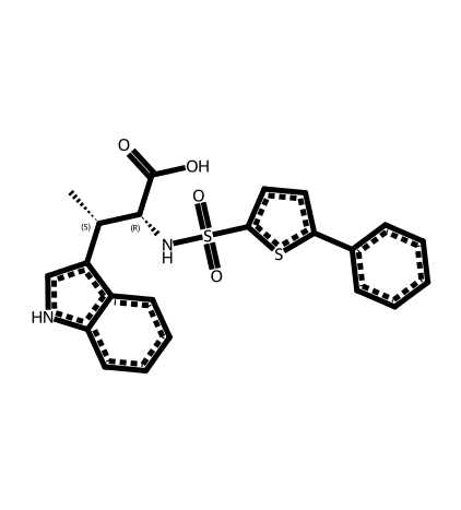 C[C@@H](c1c[nH]c2ccccc12)[C@@H](NS(=O)(=O)c1ccc(-c2ccccc2)s1)C(=O)O